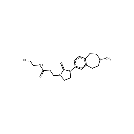 CN1CCc2ccc(N3CCN(CCC(=O)NCC(=O)O)C3=O)cc2CC1